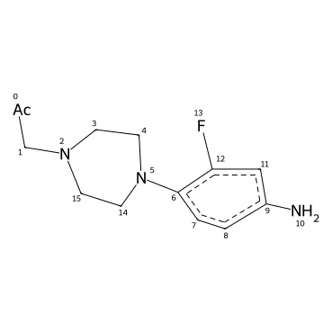 CC(=O)CN1CCN(c2ccc(N)cc2F)CC1